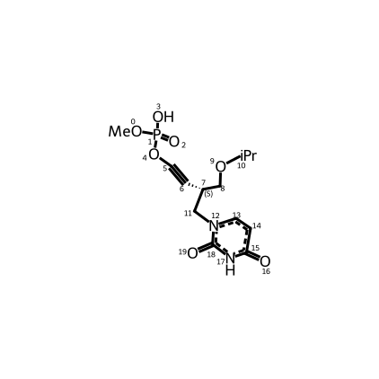 COP(=O)(O)OC#C[C@H](COC(C)C)Cn1ccc(=O)[nH]c1=O